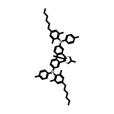 CCCCCCc1cc(C)c(N(c2ccc(C)cc2)c2ccc3c(c2)[C@]24CC(C)C[C@]2(CC(C)C4)c2cc(N(c4ccc(C)cc4)c4c(C)cc(CCCCCC)cc4C)ccc2-3)c(C)c1